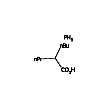 CCCCC(CCC)C(=O)O.P